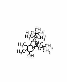 CC1=C(C)C(CO[Si](C)(C)C(C)(C)C)N(C(=O)OC(C)(C)C)CC1O